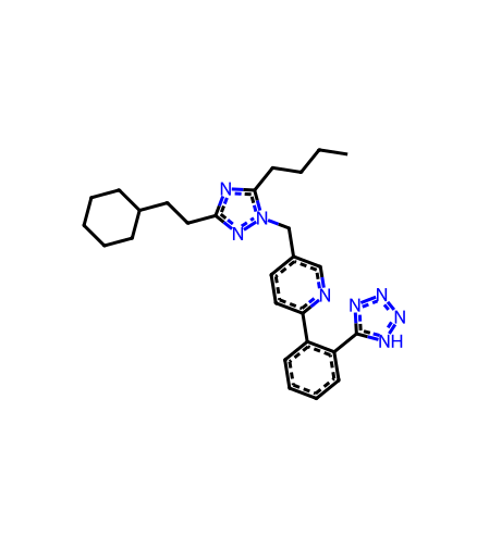 CCCCc1nc(CCC2CCCCC2)nn1Cc1ccc(-c2ccccc2-c2nnn[nH]2)nc1